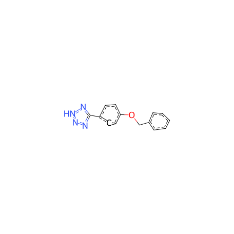 c1ccc(COc2ccc(-c3nn[nH]n3)cc2)cc1